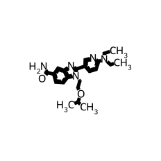 CCN(CC)c1ccc(-c2nc3cc(C(N)=O)ccc3n2CCOC(C)C)cn1